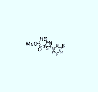 COCC(=O)c1sc(-c2cccc(F)c2)nc1O